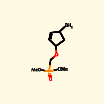 BC1C=CC(OCP(=O)(OC)OC)C1